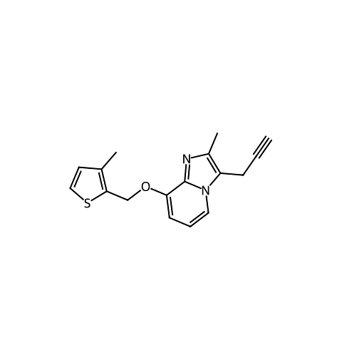 C#CCc1c(C)nc2c(OCc3sccc3C)cccn12